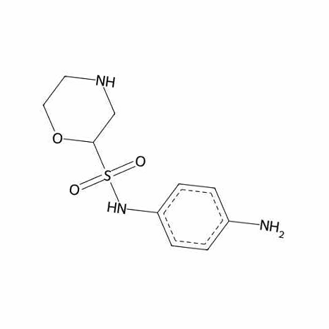 Nc1ccc(NS(=O)(=O)C2CNCCO2)cc1